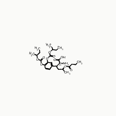 CCCC(=O)OC(C)CC(c1ccc(OC(=O)OC(C)CC)c(OC(=O)OC(C)CC)c1)[C@H](N)C(=O)O